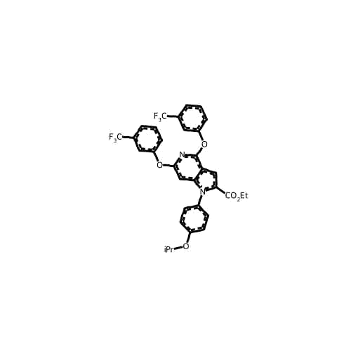 CCOC(=O)c1cc2c(Oc3cccc(C(F)(F)F)c3)nc(Oc3cccc(C(F)(F)F)c3)cc2n1-c1ccc(OC(C)C)cc1